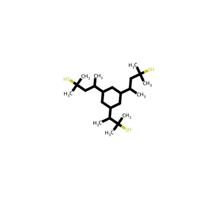 CC(CC(C)(C)S)C1CC(C(C)CC(C)(C)S)CC(C(C)C(C)(C)S)C1